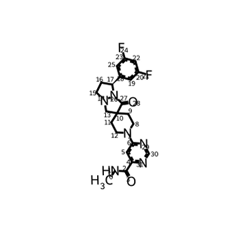 CNC(=O)c1cc(N2CCC3(CC2)CN2CC[C@@H](c4cc(F)cc(F)c4)N2C3=O)ncn1